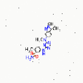 Cc1ccc(Nc2ncnc(N(C)c3ccc4c(C)n(C)nc4c3)n2)cc1S(N)(=O)=O